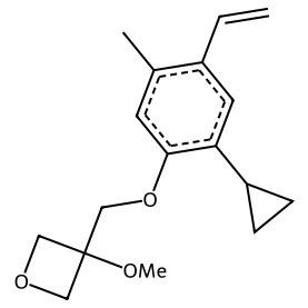 C=Cc1cc(C2CC2)c(OCC2(OC)COC2)cc1C